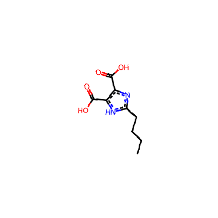 CCCCc1nc(C(=O)O)c(C(=O)O)[nH]1